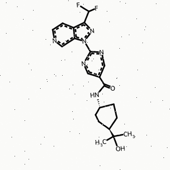 CC(C)(O)[C@H]1CC[C@H](NC(=O)c2cnc(-n3nc(C(F)F)c4ccncc43)nc2)CC1